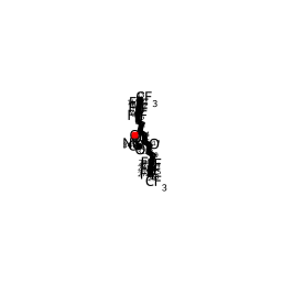 O=C(CCC(F)(F)C(F)(F)C(F)(F)C(F)(F)F)CC(C(=O)CCC(F)(F)C(F)(F)C(F)(F)C(F)(F)F)S(=O)(=O)[O-].[Na+]